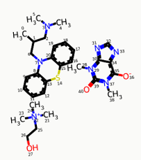 CC(CN(C)C)CN1c2ccccc2Sc2ccccc21.C[N+](C)(C)CCO.Cn1c2ncnc-2c([O-])n(C)c1=O